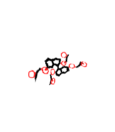 c1cc2ccc(OCC3CO3)c(-c3c(OCC4CO4)ccc4ccc(OCC5CO5)cc34)c2cc1OCC1CO1